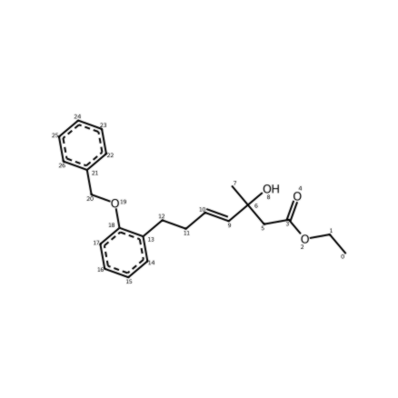 CCOC(=O)CC(C)(O)/C=C/CCc1ccccc1OCc1ccccc1